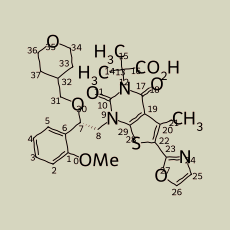 COc1ccccc1[C@@H](Cn1c(=O)n(C(C)(C)C(=O)O)c(=O)c2c(C)c(-c3ncco3)sc21)OCC1CCOCC1